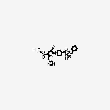 CCOC(=O)c1cc(C#N)c(N2CCC(C(=O)NS(=O)(=O)Cc3ccccc3)CC2)nc1Cn1cncn1